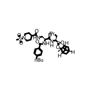 CCCCc1ccc(C(=O)N[C@@H](CNC(=O)C2CCN(S(C)(=O)=O)CC2)C(=O)N[C@@H](CC(C)C)B2O[C@@H]3C[C@@H]4C[C@@H](C4(C)C)[C@]3(C)O2)cc1